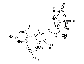 CC#Cc1[nH]c(=O)cc(F)c1[C@@H]1O[C@H](COP(=O)(O)OP(=O)(O)OP(=O)(O)O)C(O)[C@@H]1OC